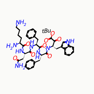 CC(C)(C)OC(=O)C(=O)[C@H](Cc1c[nH]c2ccccc12)[N]C(=O)[C@H](Cc1ccccc1)NC(=O)[C@H](Cc1ccccc1)NC(=O)[C@H](CC(N)=O)NC(=O)[C@@H](N)CCCCN